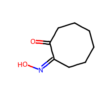 O=C1CCCCCCC1=NO